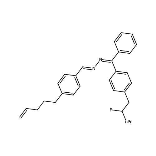 C=CCCCc1ccc(C=NN=C(c2ccccc2)c2ccc(CC(F)CCC)cc2)cc1